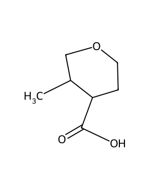 CC1COCCC1C(=O)O